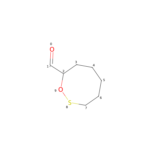 O=[C]C1CCCCCSO1